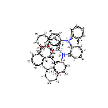 c1ccc(-n2c3ccccc3c3cccc(N(c4ccc5ccccc5c4)c4ccccc4-c4cccc5cccc(C6CCCCC6)c45)c32)cc1